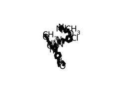 COCCCOc1nn(C2CCC(N3CCOCC3)CC2)cc1Nc1ncc(-c2ccc(Cl)c(OC(C)Cn3cnnn3)c2)cn1